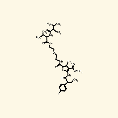 CCC(C(=O)Nc1sc(C(=O)NCCOCCNC(=O)C(NC(=O)C(N)C(C)C)C(C)C)c(C)c1C(=O)OC)c1ccc(F)cc1